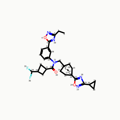 CCc1noc(-c2cccc(N(CC34CCC(c5nc(C6CC6)no5)(CC3)CC4)C(=O)C3CC(C(F)F)C3)c2)n1